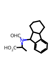 CC(C(=O)O)N(C=O)C1c2ccccc2C2CCCCC21